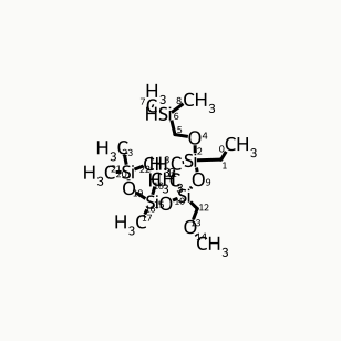 CC[Si](C)(OC[SiH](C)C)O[Si](C)(COC)O[Si](C)(C)O[Si](C)(C)C